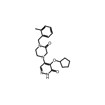 Cc1ccccc1CN1CCN(c2cn[nH]c(=O)c2OC2CCCC2)CC1=O